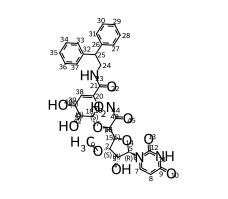 CO[C@H]1[C@@H](O)[C@H](n2ccc(=O)[nH]c2=O)O[C@@H]1[C@@H](O[C@H]1OC(C(=O)NCC(c2ccccc2)c2ccccc2)=C[C@H](O)[C@@H]1O)C(N)=O